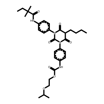 CCCCC1C(=O)N(c2ccc(NC(=O)OCCOC(C)C)cc2)C(=O)N(c2ccc(NC(=O)C(C)(C)CC)cc2)C1=O